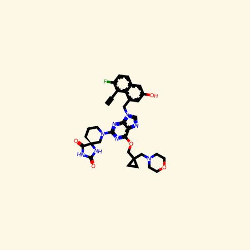 C#Cc1c(F)ccc2cc(O)cc(Cn3cnc4c(OCC5(CN6CCOCC6)CC5)nc(N5CCC[C@@]6(C5)NC(=O)NC6=O)nc43)c12